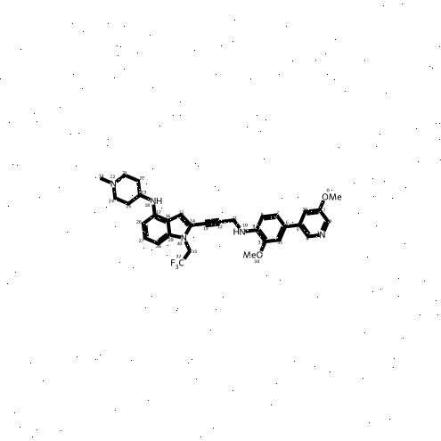 COc1cncc(-c2ccc(NCC#Cc3cc4c(NC5CCN(C)CC5)cccc4n3CC(F)(F)F)c(OC)c2)c1